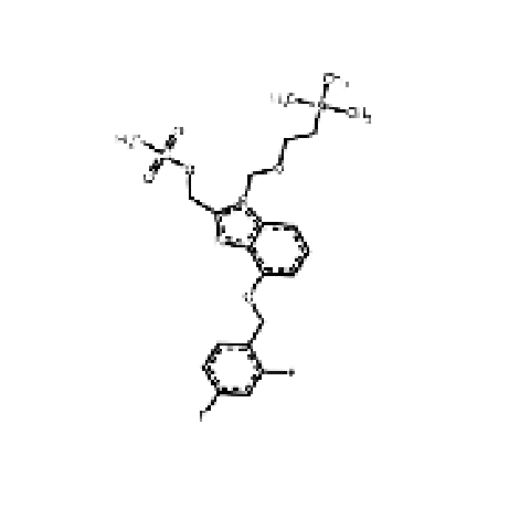 C[Si](C)(C)CCOCn1c(COS(C)(=O)=O)nc2c(OCc3ccc(F)cc3F)cccc21